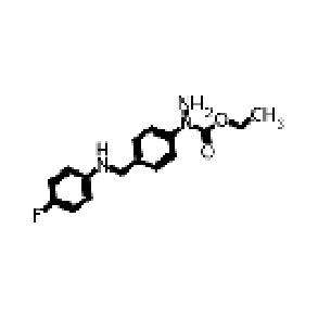 CCOC(=O)N(N)c1ccc(CNc2ccc(F)cc2)cc1